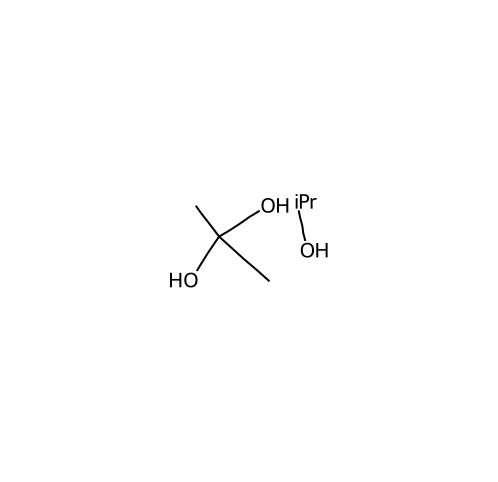 CC(C)(O)O.CC(C)O